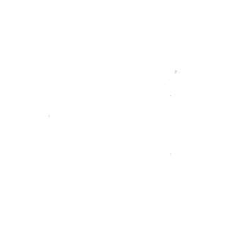 CC(C)(C)c1cc(-c2ccc3cc(NS(C)(=O)=O)ccc3c2)cc(-n2c(=O)cc[nH]c2=O)c1